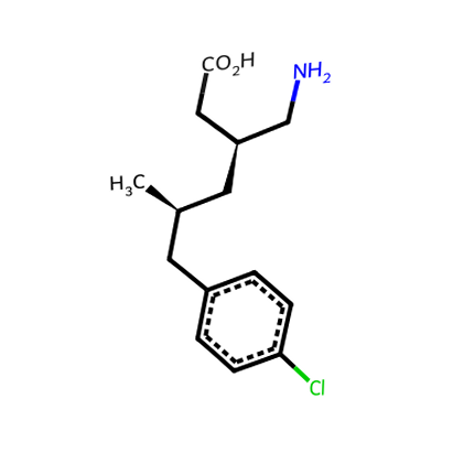 C[C@H](Cc1ccc(Cl)cc1)C[C@H](CN)CC(=O)O